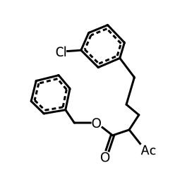 CC(=O)C(CCCc1cccc(Cl)c1)C(=O)OCc1ccccc1